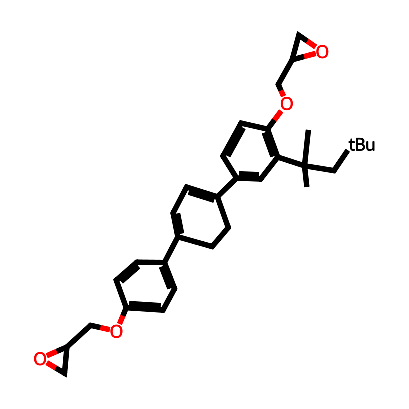 CC(C)(C)CC(C)(C)c1cc(C2=CC=C(c3ccc(OCC4CO4)cc3)CC2)ccc1OCC1CO1